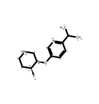 CC(C)c1ccc(O[C@@H]2CNCC[C@@H]2F)cn1